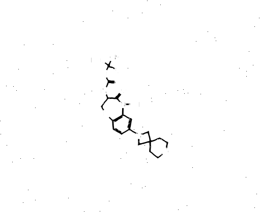 CN1C(=O)C(NC(=O)OC(C)(C)C)COc2ccc(N3CC4(CCOCC4)C3)cc21